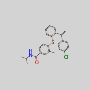 C=C(c1ccc(Cl)cc1)c1ccccc1Sc1ccc(C(=O)NC(C)C)cc1C